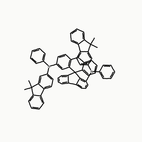 CC1(C)c2ccccc2-c2ccc(N(c3ccccc3)c3ccc4c(c3)C3(c5ccccc5S4)c4ccccc4-c4cccc(N(c5ccccc5)c5ccc6c(c5)C(C)(C)c5ccccc5-6)c43)cc21